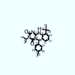 CC(C)n1c(=O)nc(Nc2ccccc2C(C)(C)C)n(Cc2ccc(F)cc2)c1=O